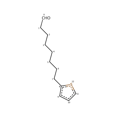 O=CCCCCCCCc1cccs1